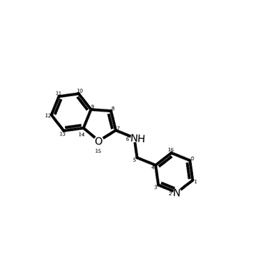 c1cncc(CNc2cc3ccccc3o2)c1